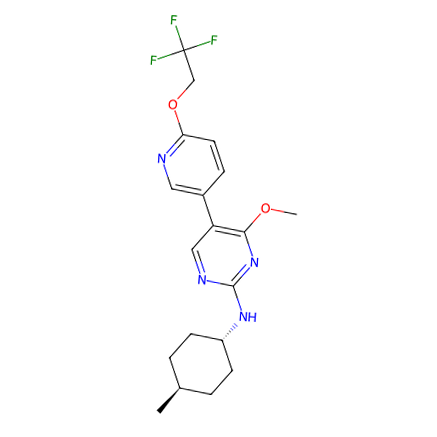 COc1nc(N[C@H]2CC[C@H](C)CC2)ncc1-c1ccc(OCC(F)(F)F)nc1